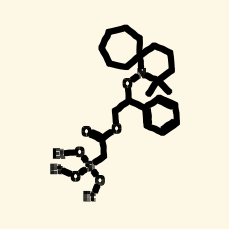 CCO[Si](CC(=O)OCC(ON1C(C)(C)CCCC12CCCCCC2)c1ccccc1)(OCC)OCC